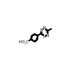 Cc1nnc(-c2ccc(C(=O)O)cc2)nn1